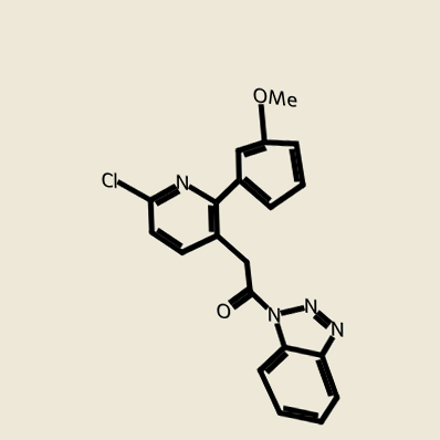 COc1cccc(-c2nc(Cl)ccc2CC(=O)n2nnc3ccccc32)c1